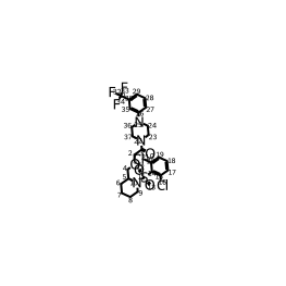 O=C(COCC1CCCCN1S(=O)(=O)c1c(Cl)cccc1Cl)N1CCN(c2cccc(C(F)(F)F)c2)CC1